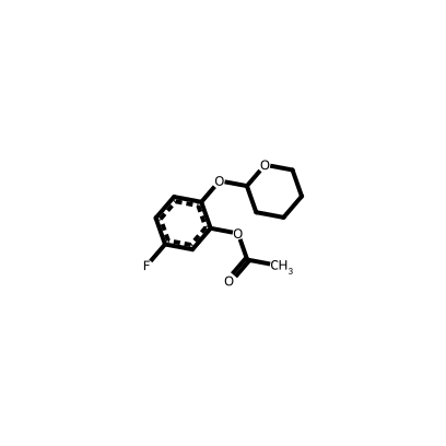 CC(=O)Oc1cc(F)ccc1OC1CCCCO1